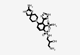 NCC(O)CNS(=O)(=O)c1ccc(N2CCC3(CC2)CNC(N)=N3)c(-c2nn[nH]n2)c1S(N)(=O)=O